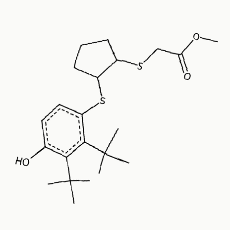 COC(=O)CSC1CCCC1Sc1ccc(O)c(C(C)(C)C)c1C(C)(C)C